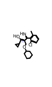 Cc1cccc(Cl)c1C(=N)/C(COC1CCCCC1)=C(\O)C1CC1